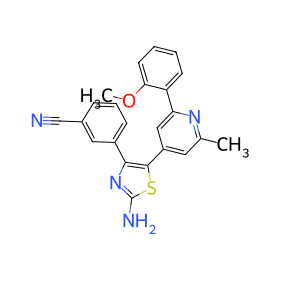 COc1ccccc1-c1cc(-c2sc(N)nc2-c2cccc(C#N)c2)cc(C)n1